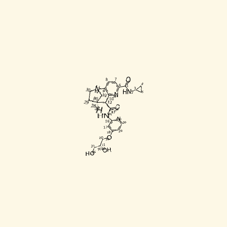 O=C(NC1CC1)c1ccc2c(n1)C(C(=O)Nc1cc(OC[C@H](O)CO)ccn1)[C@H]1CCN2C1